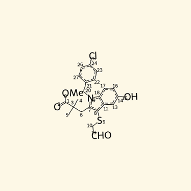 COC(=O)C(C)(C)Cc1c(SCC=O)c2cc(O)ccc2n1Cc1ccc(Cl)cc1